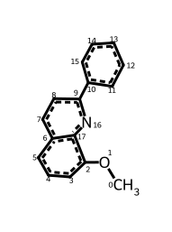 COc1cccc2ccc(-c3ccccc3)nc12